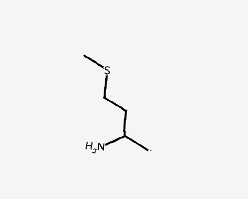 [CH2]C(N)CCSC